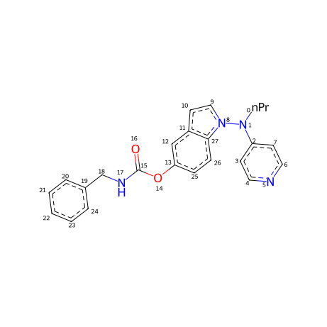 CCCN(c1ccncc1)n1ccc2cc(OC(=O)NCc3ccccc3)ccc21